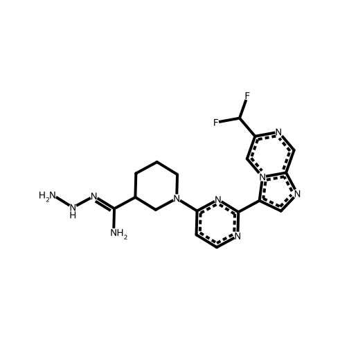 NN/N=C(\N)C1CCCN(c2ccnc(-c3cnc4cnc(C(F)F)cn34)n2)C1